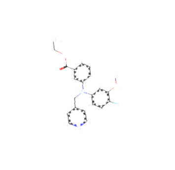 CCOC(=O)c1cccc(N(Cc2ccncc2)c2ccc(F)c(OC)c2)c1